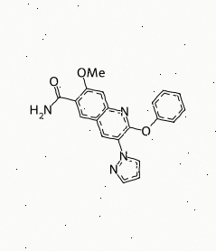 COc1cc2nc(Oc3ccccc3)c(-n3cccn3)cc2cc1C(N)=O